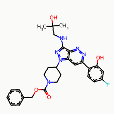 CC(C)(O)CNc1nn(C2CCN(C(=O)OCc3ccccc3)CC2)c2cc(-c3ccc(F)cc3O)nnc12